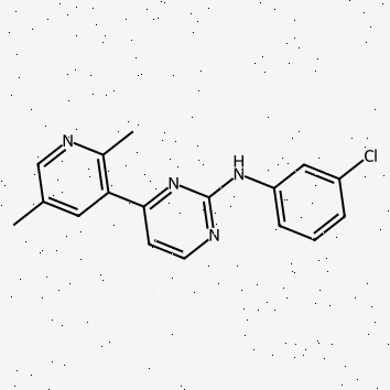 Cc1cnc(C)c(-c2ccnc(Nc3cccc(Cl)c3)n2)c1